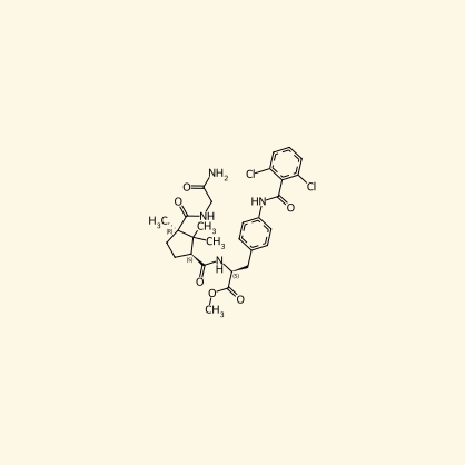 COC(=O)[C@H](Cc1ccc(NC(=O)c2c(Cl)cccc2Cl)cc1)NC(=O)[C@H]1CC[C@@](C)(C(=O)NCC(N)=O)C1(C)C